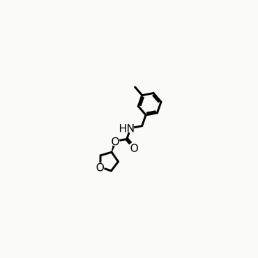 Cc1cccc(CNC(=O)O[C@H]2CCOC2)c1